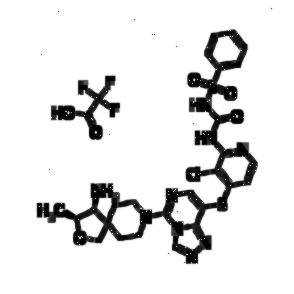 C[C@@H]1OCC2(CCN(c3ncc(Sc4ccnc(NC(=O)NS(=O)(=O)c5ccccc5)c4Cl)c4nncn34)CC2)[C@@H]1N.O=C(O)C(F)(F)F